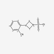 CCS(=O)(=O)N1CC(c2ccccc2C#N)C1